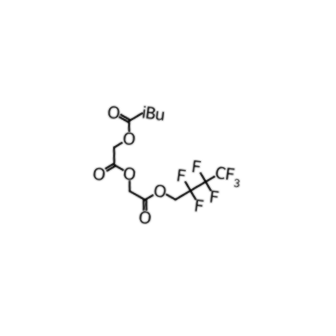 CCC(C)C(=O)OCC(=O)OCC(=O)OCC(F)(F)C(F)(F)C(F)(F)F